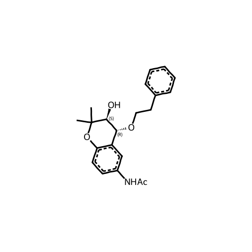 CC(=O)Nc1ccc2c(c1)[C@@H](OCCc1ccccc1)[C@H](O)C(C)(C)O2